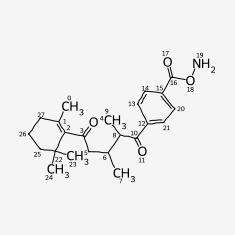 CC1=C(C(=O)CC(C)C(C)C(=O)c2ccc(C(=O)ON)cc2)C(C)(C)CCC1